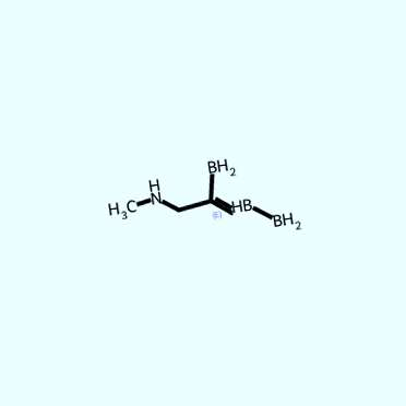 BB/C=C(\B)CNC